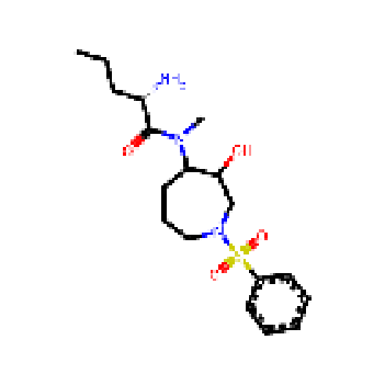 CCC[C@H](N)C(=O)N(C)C1CCCN(S(=O)(=O)c2ccccc2)CC1O